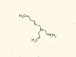 C=CCC=CCN(CC=C)CC=C